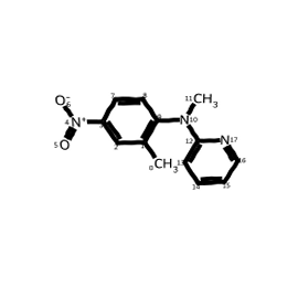 Cc1cc([N+](=O)[O-])ccc1N(C)c1ccccn1